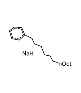 CCCCCCCCCCCCCCc1ccccc1.[NaH]